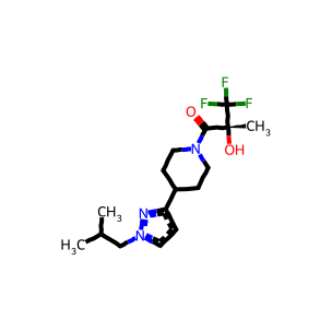 CC(C)Cn1ccc(C2CCN(C(=O)[C@@](C)(O)C(F)(F)F)CC2)n1